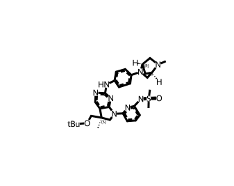 CN1C[C@H]2C[C@@H]1CN2c1ccc(Nc2ncc3c(n2)N(c2cccc(N=S(C)(C)=O)n2)C[C@@]3(C)COC(C)(C)C)cc1